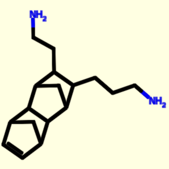 NCCCC1C(CCN)C2CC1C1C3C=CC(C3)C21